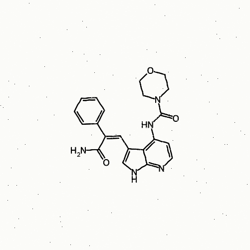 NC(=O)C(=Cc1c[nH]c2nccc(NC(=O)N3CCOCC3)c12)c1ccccc1